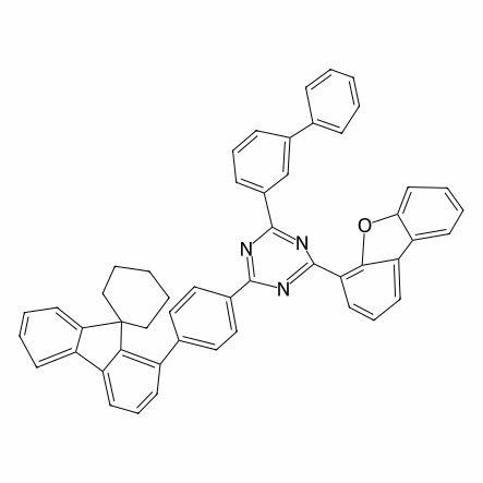 c1ccc(-c2cccc(-c3nc(-c4ccc(-c5cccc6c5C5(CCCCC5)c5ccccc5-6)cc4)nc(-c4cccc5c4oc4ccccc45)n3)c2)cc1